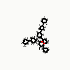 c1ccc(-c2ccc(-c3ccc(N(c4ccc(-c5ccccc5)cc4)c4ccc5c(c4)oc4ccccc45)c(-c4ccccc4)c3)cc2)cc1